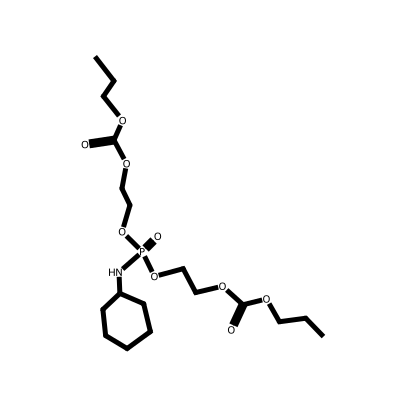 CCCOC(=O)OCCOP(=O)(NC1CCCCC1)OCCOC(=O)OCCC